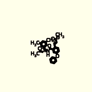 COC(=O)CCc1ccc(Oc2ccccc2)cc1C(=O)N[C@H](CC(C)C)c1cc(C)cc(C)c1